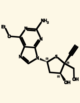 C#C[C@]1(CO)S[C@@H](n2cnc3c(OCC)nc(N)nc32)C[C@@H]1O